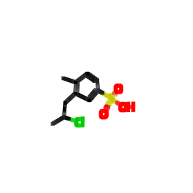 Cc1ccc(S(=O)(=O)O)cc1CC(C)Cl